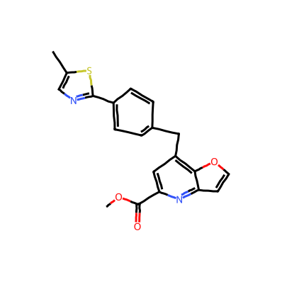 COC(=O)c1cc(Cc2ccc(-c3ncc(C)s3)cc2)c2occc2n1